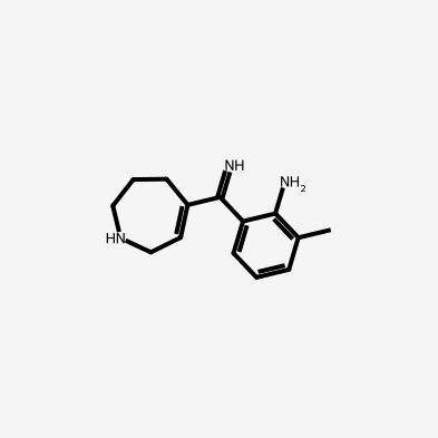 Cc1cccc(C(=N)C2=CCNCCC2)c1N